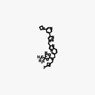 CC(C)(C)OC(=O)N(Cc1ccc2nc(Cn3cc(-c4cncc(N5CCC5)c4)nn3)cn2c1)CC12CC(F)(C1)C2